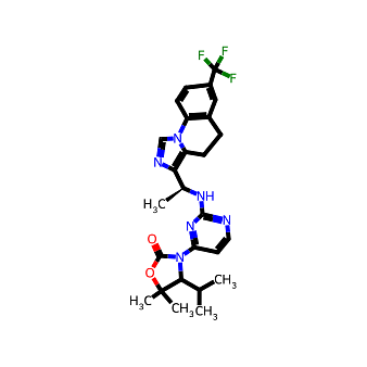 CC(C)C1N(c2ccnc(N[C@@H](C)c3ncn4c3CCc3cc(C(F)(F)F)ccc3-4)n2)C(=O)OC1(C)C